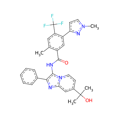 Cc1cc(C(F)(F)F)c(-c2ccn(C)n2)cc1C(=O)Nc1c(-c2ccccc2)nc2cc(C(C)(C)O)ccn12